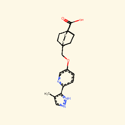 Cc1cn[nH]c1-c1ccc(OCC23CCC(C(=O)O)(CC2)CC3)cn1